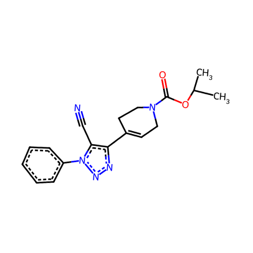 CC(C)OC(=O)N1CC=C(c2nnn(-c3ccccc3)c2C#N)CC1